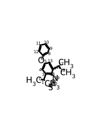 CC(C)c1cc(Oc2ccccc2)cc(C(C)C)c1N=C=S